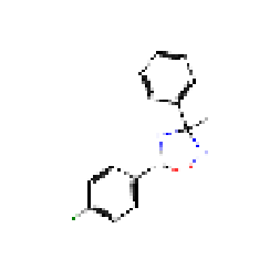 [2H]C1(c2ccccc2)NOB(c2ccc(F)cc2)N1